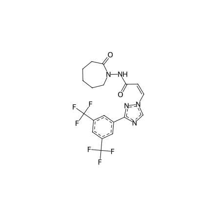 O=C(/C=C\n1cnc(-c2cc(C(F)(F)F)cc(C(F)(F)F)c2)n1)NN1CCCCCC1=O